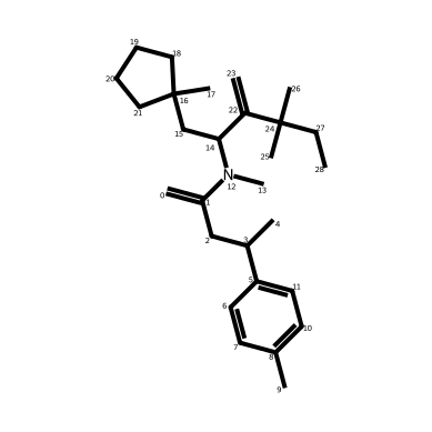 C=C(CC(C)c1ccc(C)cc1)N(C)C(CC1(C)CCCC1)C(=C)C(C)(C)CC